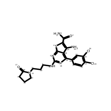 NC(=O)c1sc2nc(NCCCN3CCCC3=O)nc(-c3ccc(Cl)c(Cl)c3)c2c1N